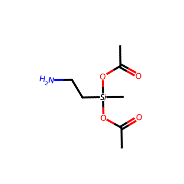 CC(=O)O[Si](C)(CCN)OC(C)=O